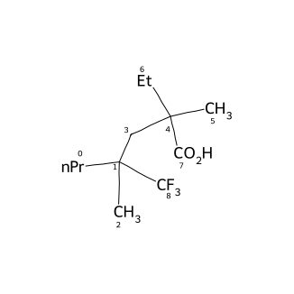 CCCC(C)(CC(C)(CC)C(=O)O)C(F)(F)F